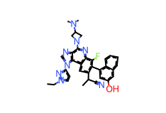 CCn1ccc(-n2cnc3c(N4CC(N(C)C)C4)nc4c(F)c(-c5cc(O)cc6ccccc56)c(C(C)C#N)cc4c32)n1